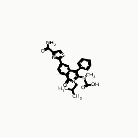 CC(C)Cn1c(N(C)C(=O)O)c(-c2ccccc2)c2cc(-c3nc(C(N)=O)cs3)ccc2c1=O